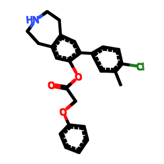 Cc1cc(-c2cc3c(cc2OC(=O)COc2ccccc2)CCNCC3)ccc1Cl